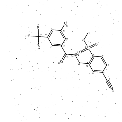 CCS(=O)(=O)c1ccc(C#N)cc1CNC(=O)c1cc(Cl)cc(C(F)(F)F)c1